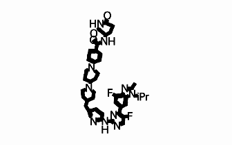 Cc1nc2c(F)cc(-c3nc(Nc4ccc(CC5CCN(C6CCN(c7ccc(C(=O)NC8CCC(=O)NC8=O)cc7)CC6)CC5)cn4)ncc3F)cc2n1C(C)C